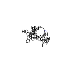 CC[C@@H]1C[C@H](C)CC/C=C\[C@@H]2C[C@@]2(C(=O)NS(=O)(=O)C2(CF)CC2)NC(=O)[C@@H]2C[C@@H](Oc3nc(OC)cc4ccccc34)CN2C(=O)[C@H]1N(C(=O)O)C(C)(C)C